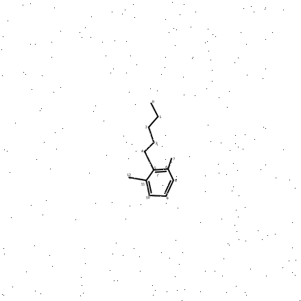 CCCCCc1c(C)cccc1C